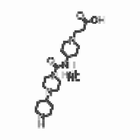 Cl.Cl.O=C(O)CCN1CCC(NC(=O)N2CCN(C3CCNCC3)CC2)CC1